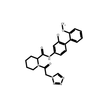 O=C(Nc1ccc(-c2ccccc2OC(F)(F)F)c(Cl)c1)C1CCCCN1C(=O)Cn1cnnn1